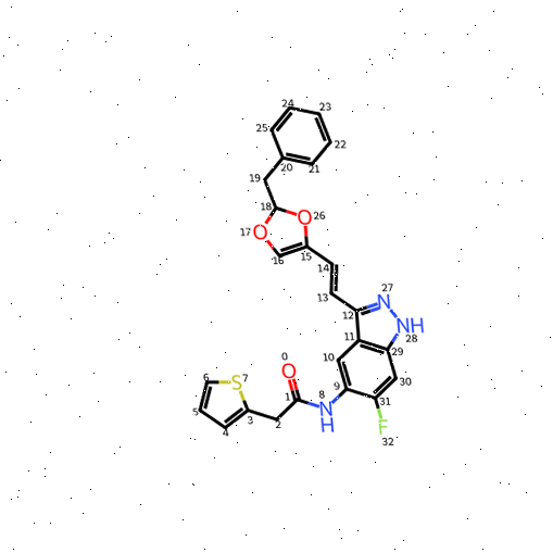 O=C(Cc1cccs1)Nc1cc2c(C=CC3=COC(Cc4ccccc4)O3)n[nH]c2cc1F